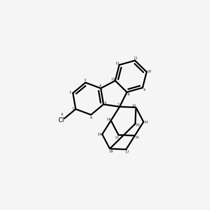 ClC1C=CC2=C(C1)C1(c3ccccc32)C2CC3CC(C2)CC1C3